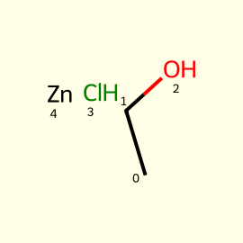 CCO.Cl.[Zn]